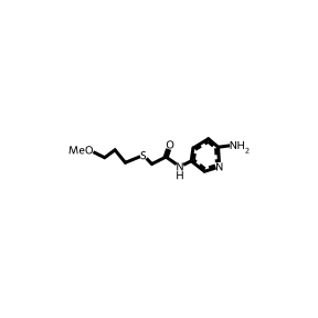 COCCCSCC(=O)Nc1ccc(N)nc1